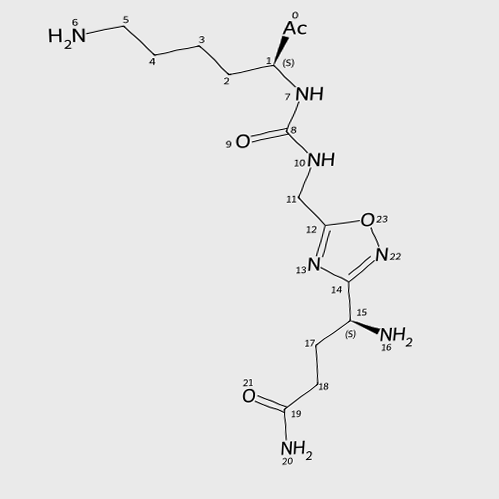 CC(=O)[C@H](CCCCN)NC(=O)NCc1nc([C@@H](N)CCC(N)=O)no1